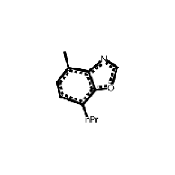 CCCc1ccc(C)c2ncoc12